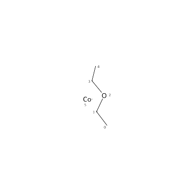 CCOCC.[Co]